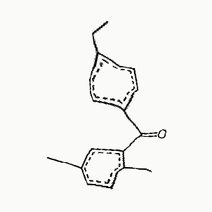 CCc1ccc(C(=O)c2cc(C)ccc2C)cc1